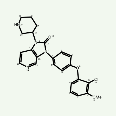 COc1cccc(Oc2ccc(-n3c(=O)n(C4CCCNC4)c4ccncc43)cc2)c1Cl